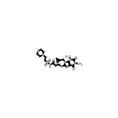 Cn1c(=O)c2nc(SCCC(=O)NS(=O)(=O)CCN3CCOCC3)n(CC3CC3)c2n(C)c1=O